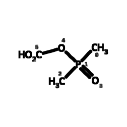 CP(C)(=O)OC(=O)O